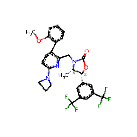 COc1ccccc1-c1ccc(N2CCC2)nc1CN1C(=O)O[C@H](c2cc(C(F)(F)F)cc(C(F)(F)F)c2)[C@@H]1C